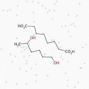 CC(O)CCCCO.O=C(O)CCCCCCC(=O)O